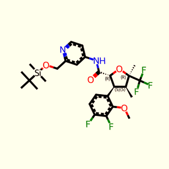 COc1c([C@H]2[C@H](C(=O)Nc3ccnc(CO[Si](C)(C)C(C)(C)C)c3)O[C@@](C)(C(F)(F)F)[C@H]2C)ccc(F)c1F